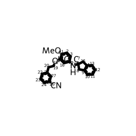 COc1ccc(NC2(C(=O)O)Cc3ccccc3C2)cc1OCCc1cccc(C#N)c1